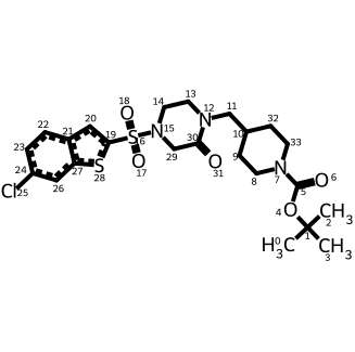 CC(C)(C)OC(=O)N1CCC(CN2CCN(S(=O)(=O)c3cc4ccc(Cl)cc4s3)CC2=O)CC1